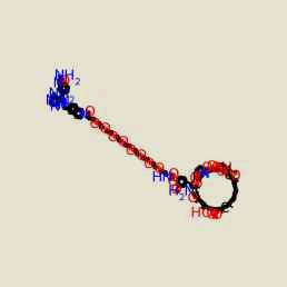 CO[C@H]1C[C@@H]2CC[C@@H](C)[C@@](O)(O2)C(=O)C(=O)N2CCCC[C@H]2C(=O)O[C@H]([C@H](N)C[C@@H]2CC[C@@H](OC(=O)NCCOCCOCCOCCOCCOCCOCCOCCOCCC(=O)N3CCc4cc(Cn5nc(-c6ccc7oc(N)nc7c6)c6c(N)ncnc65)ccc4C3)[C@H](OC)C2)CC(=O)[C@H](C)/C=C(\C)[C@@H](O)[C@@H](OC)C(=O)[C@H](C)C[C@H](C)/C=C/C=C/C=C/1C